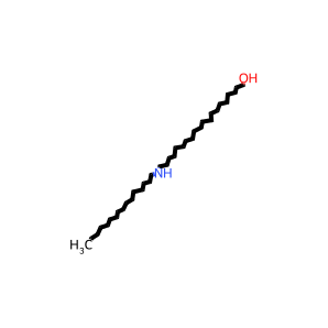 CCCCCCCCCCCCCCCCNCCCCCCCCCCCCCCCCCCCCO